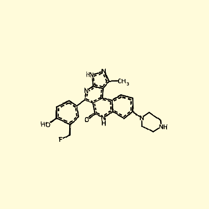 Cc1n[nH]c2nc(-c3ccc(O)c(CF)c3)c3c(=O)[nH]c4cc(N5CCNCC5)ccc4c3c12